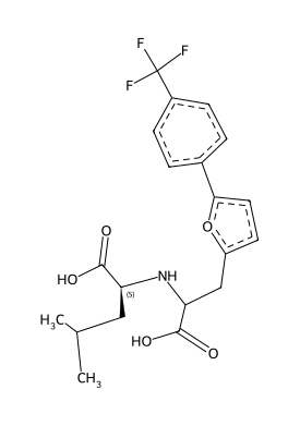 CC(C)C[C@H](NC(Cc1ccc(-c2ccc(C(F)(F)F)cc2)o1)C(=O)O)C(=O)O